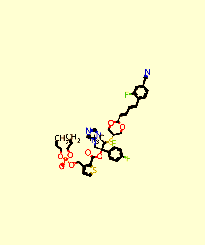 C=CCOP(=O)(OCC=C)OCc1ccsc1C(=O)O[C@@](Cn1cncn1)(c1ccc(F)cc1F)[C@@H](C)S[C@H]1CO[C@H](/C=C/C=C/c2ccc(C#N)cc2F)OC1